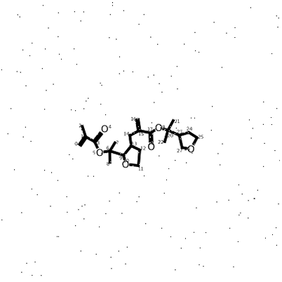 C=C(C)C(=O)OC(C)(C)C1OCCC1CC(=C)C(=O)OC(C)(C)C1CCOC1